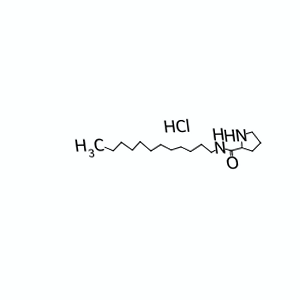 CCCCCCCCCCCCNC(=O)C1CCCN1.Cl